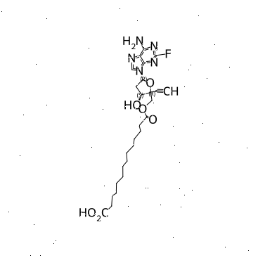 C#C[C@]1(COC(=O)CCCCCCCCCCCCC(=O)O)O[C@@H](n2cnc3c(N)nc(F)nc32)C[C@@H]1O